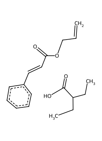 C=CCOC(=O)C=Cc1ccccc1.CCC(CC)C(=O)O